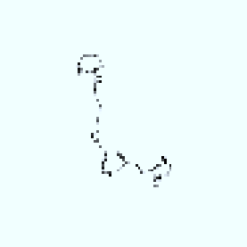 c1ccc(OCCCCOc2cccc(CCC3=NCCN3)c2)cc1